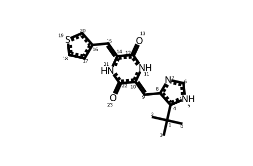 CC(C)(C)c1[nH]cnc1/C=c1\[nH]c(=O)/c(=C/c2ccsc2)[nH]c1=O